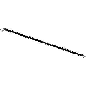 CCCCCCCCCCCCCCCCCCCCCCCCCCCCCCCCCCCCCCCCCCCCCCCCCCCCCCCCCCCCCCCCO